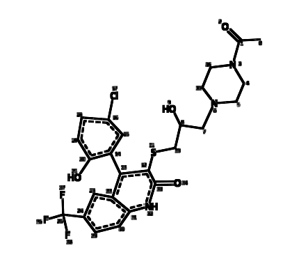 CC(=O)N1CCN(CC(O)CSc2c(-c3cc(Cl)ccc3O)c3cc(C(F)(F)F)ccc3[nH]c2=O)CC1